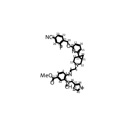 COC(=O)c1ccc(/N=C/CN2CCC3(c4cccc(OCc5ccc(C#N)cc5F)n4)CC3C2)c(N(C)Cc2cncs2)c1